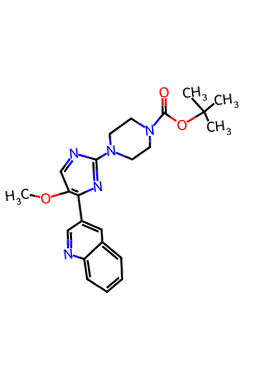 COc1cnc(N2CCN(C(=O)OC(C)(C)C)CC2)nc1-c1cnc2ccccc2c1